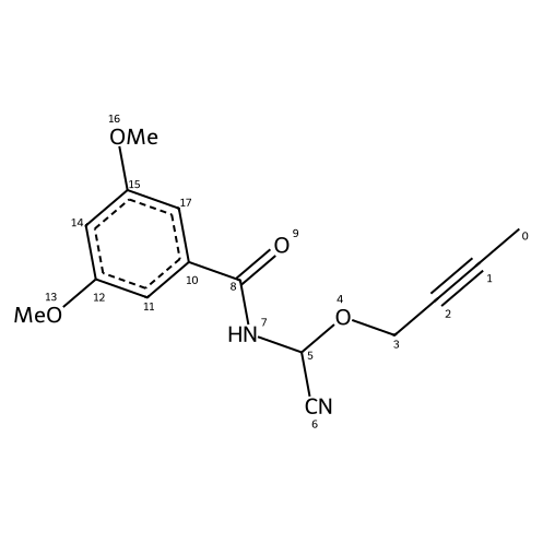 CC#CCOC(C#N)NC(=O)c1cc(OC)cc(OC)c1